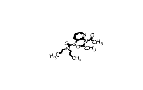 CCCN(CCC)C(=S)Sc1cccnc1N(C(C)=O)C(C)=O